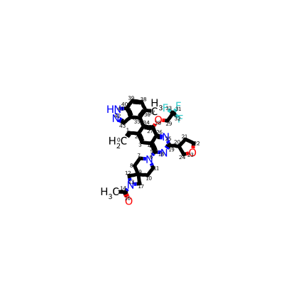 C=Cc1cc2c(N3CCC4(CC3)CN(C(C)=O)C4)nc(C3CCOC3)nc2c(OCC(F)(F)F)c1-c1c(C)ccc2[nH]ncc12